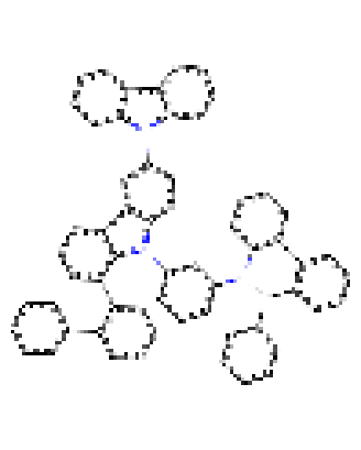 c1ccc(B2c3ccccc3-c3ccccc3N2c2cccc(-n3c4ccc(-n5c6ccccc6c6ccccc65)cc4c4cccc(-c5ccccc5-c5ccccc5)c43)c2)cc1